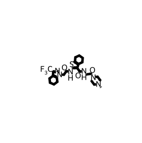 CN1CCN(C(=O)CNC(=O)c2c(NC(=O)Cn3nc(C(F)(F)F)c4c3CCCC4)sc3c2CCCC3)CC1